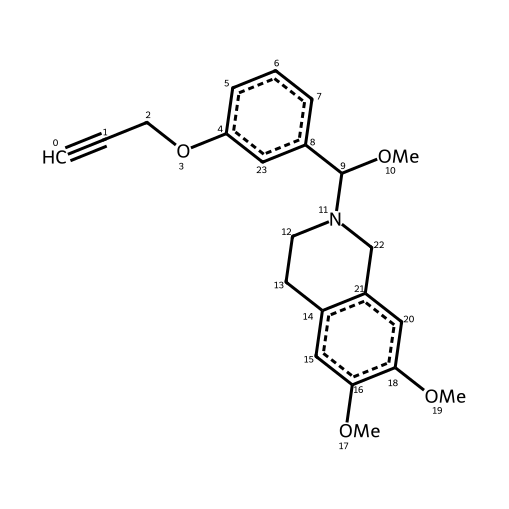 C#CCOc1cccc(C(OC)N2CCc3cc(OC)c(OC)cc3C2)c1